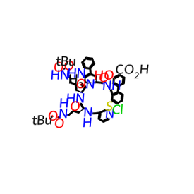 CN1C(=O)[C@H](CCCCNC(=O)OC(C)(C)C)NC(=O)[C@H](CCCNC(=O)OC(C)(C)C)NCc2cccnc2Sc2c(Cl)ccc(-c3ccc(C(=O)O)c(O)c3)c2CNC(=O)[C@@H]1Cc1c[nH]c2ccccc12